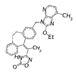 CCOc1nc2c(C)ccnc2n1Cc1ccc2c(c1)CCc1ccccc1/C2=C(/C)c1noc(=O)[nH]1